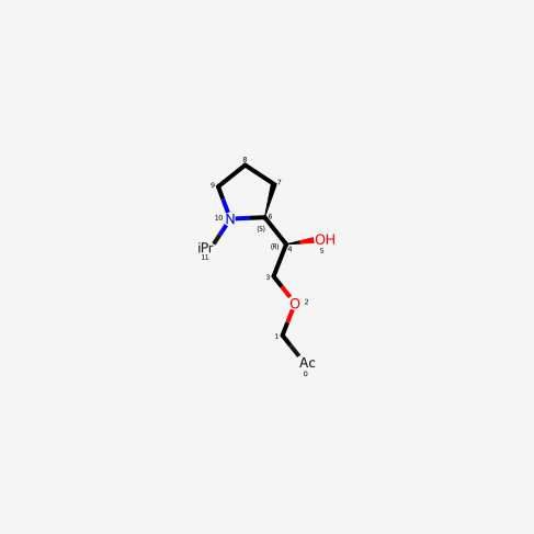 CC(=O)COC[C@H](O)[C@@H]1CCCN1C(C)C